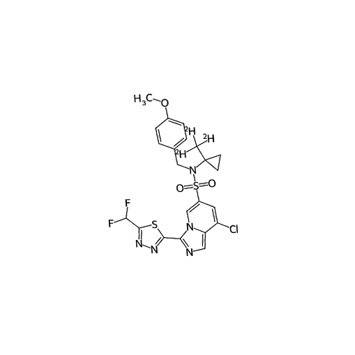 [2H]C([2H])([2H])C1(N(Cc2ccc(OC)cc2)S(=O)(=O)c2cc(Cl)c3cnc(-c4nnc(C(F)F)s4)n3c2)CC1